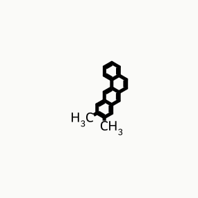 Cc1cc2cc3ccc4ccccc4c3cc2cc1C